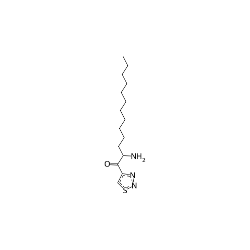 CCCCCCCCCCCC(N)C(=O)c1csnn1